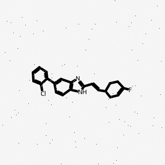 FC1=CCC(C=Cc2nc3cc(-c4ccccc4Cl)ccc3[nH]2)CC1